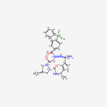 C=C1C[C@@H](C(=O)NC(C)c2cc(C(=N)N)cs2)N(C(=O)CNC(=O)c2ccc3c(c2)-c2ccccc2C3(F)F)C1